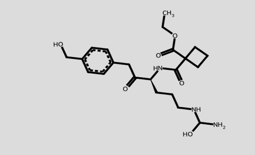 CCOC(=O)C1(C(=O)N[C@@H](CCCNC(N)O)C(=O)Cc2ccc(CO)cc2)CCC1